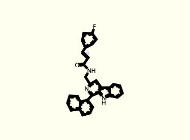 O=C(/C=C/c1ccc(F)cc1)NCc1cc2c([nH]c3ccccc32)c(-c2cccc3ccccc23)n1